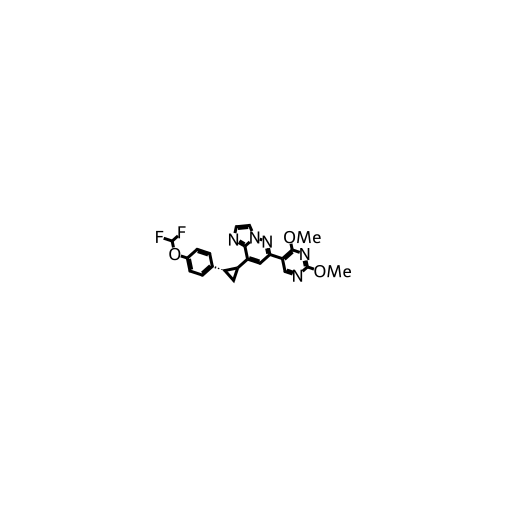 COc1ncc(-c2cc(C3C[C@@H]3c3ccc(OC(F)F)cc3)c3nccn3n2)c(OC)n1